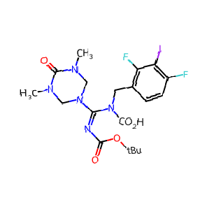 CN1CN(C(=NC(=O)OC(C)(C)C)N(Cc2ccc(F)c(I)c2F)C(=O)O)CN(C)C1=O